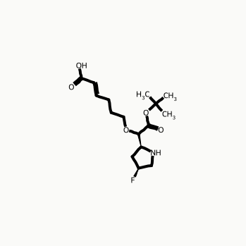 CC(C)(C)OC(=O)C(OCCCC=CC(=O)O)[C@@H]1C[C@H](F)CN1